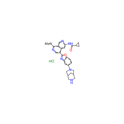 CNc1ncc(-c2nc3cc(N4CC5CNCC(C5)C4)ccc3o2)c2cc(NC(=O)C3CC3)ncc12.Cl